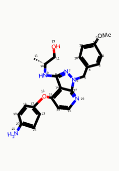 COc1ccc(Cn2nc(N[C@H](C)CO)c3c(Oc4ccc(N)cc4)ccnc32)cc1